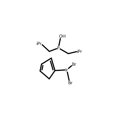 CC(C)CP(O)CC(C)C.[Br][Ir]([Br])[C]1=CC=CC1